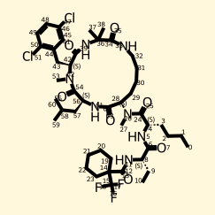 CCCC[C@H](NC(=O)[C@H](CC)NC(=O)C1(C(F)(F)F)CCCCC1)C(=O)N(C)[C@H]1CCCCNC(=O)C(C)(C)NC(=O)[C@H](Cc2cc(Cl)ccc2Cl)N(C)C(=O)[C@H](CC(C)C)NC1=O